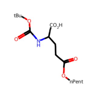 CCCCCOC(=O)CCC(NC(=O)OC(C)(C)C)C(=O)O